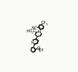 CCOc1ccccc1-c1ccc(C2CCN(c3ccc(C(F)(F)F)cc3C#N)C(C(=O)O)C2)cn1